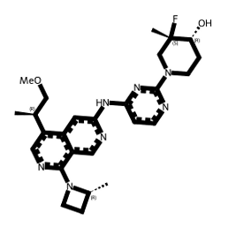 COC[C@H](C)c1cnc(N2CC[C@H]2C)c2cnc(Nc3ccnc(N4CC[C@@H](O)[C@@](C)(F)C4)n3)cc12